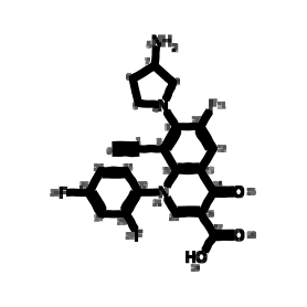 C#Cc1c(N2CCC(N)C2)c(F)cc2c(=O)c(C(=O)O)cn(-c3ccc(F)cc3F)c12